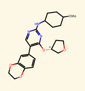 COC1CCC(Nc2ncc(-c3ccc4c(c3)OCCO4)c(O[C@@H]3CCOC3)n2)CC1